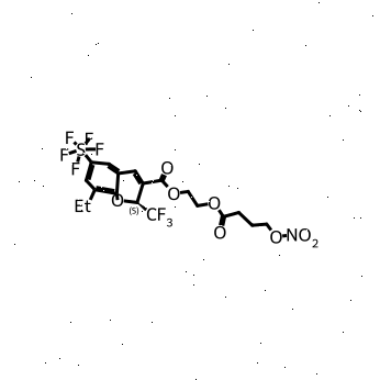 CCc1cc(S(F)(F)(F)(F)F)cc2c1O[C@H](C(F)(F)F)C(C(=O)OCCOC(=O)CCCO[N+](=O)[O-])=C2